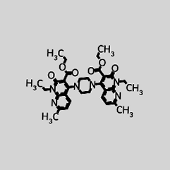 CCOC(=O)c1c(N2CCN(c3c(C(=O)OCC)c(=O)n(CC)c4nc(C)ccc34)CC2)c2ccc(C)nc2n(CC)c1=O